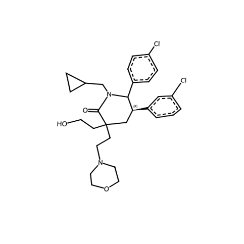 O=C1N(CC2CC2)C(c2ccc(Cl)cc2)[C@@H](c2cccc(Cl)c2)CC1(CCO)CCN1CCOCC1